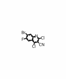 N#Cc1c(Cl)nc2cc(Br)c(F)cc2c1Cl